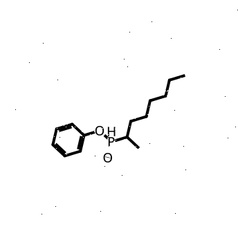 CCCCCCC(C)[PH](=O)Oc1ccccc1